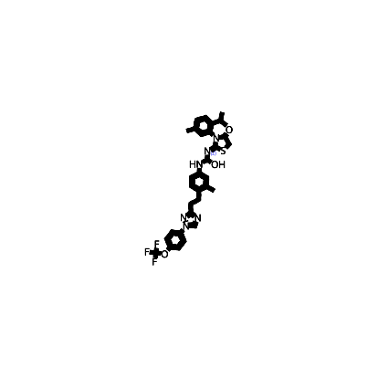 Cc1ccc(C(C)C)c(N2C(=O)CS/C2=N\C(O)Nc2ccc(CCc3ncn(-c4ccc(OC(F)(F)F)cc4)n3)c(C)c2)c1